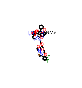 CN[C@@H](C)C(=O)N[C@H](C(=O)C(c1ccccc1)(c1ccccc1)[C@@H](C(=O)NCCOCCOCCOc1c(-c2csc(N3CCOCC3)n2)ccc(F)c1F)N1CCC[C@H]1C(N)=O)C1CCCCC1